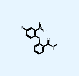 CNC(=O)c1ccccc1Sc1ccc(F)cc1[N+](=O)[O-]